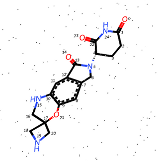 O=C1CC[C@H](N2Cc3cc4c(cc3C2=O)NCC2(CNC2)O4)C(=O)N1